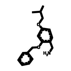 CC(C)COc1ccc(CN)c(OCc2ccccc2)c1